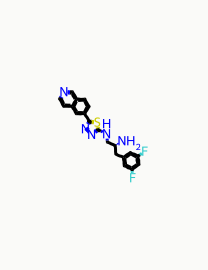 N[C@@H](CNc1nnc(-c2ccc3cnccc3c2)s1)Cc1cc(F)cc(F)c1